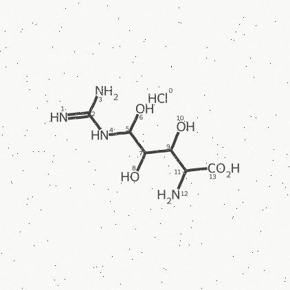 Cl.N=C(N)NC(O)C(O)C(O)C(N)C(=O)O